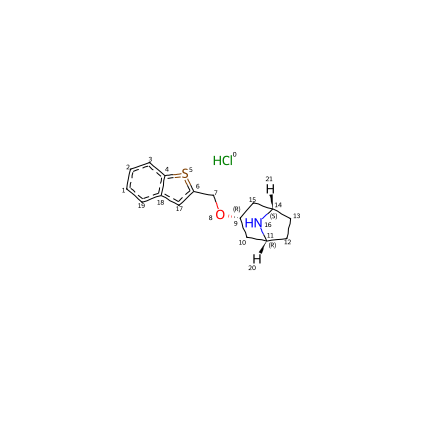 Cl.c1ccc2sc(CO[C@H]3C[C@H]4CC[C@@H](C3)N4)cc2c1